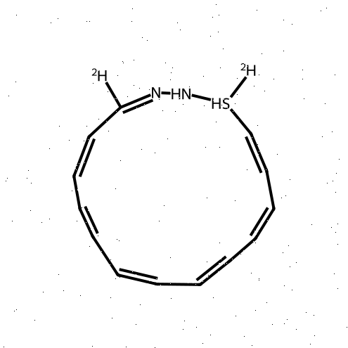 [2H]C1=NN[SH]([2H])C=CC=CC=CC=CC=CC=C1